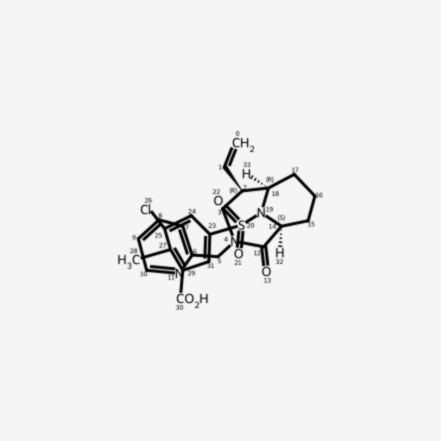 C=C[C@@H]1CN(Cc2ccccn2)C(=O)[C@@H]2CCC[C@H]1N2S(=O)(=O)c1cc(Cl)c(C)c(C(=O)O)c1